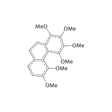 COc1ccc2ccc3c(OC)c(OC)c(OC)c(OC)c3c2c1OC